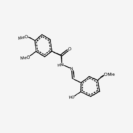 COc1ccc(O)c(C=NNC(=O)c2ccc(OC)c(OC)c2)c1